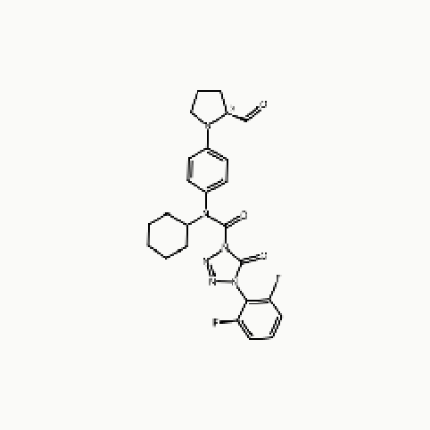 O=C[C@@H]1CCCN1c1ccc(N(C(=O)n2nnn(-c3c(F)cccc3F)c2=O)C2CCCCC2)cc1